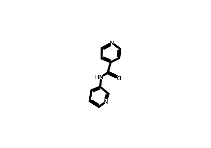 O=C(Nc1cccnc1)c1ccncc1